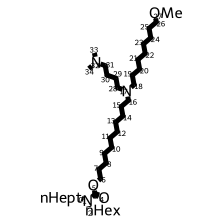 CCCCCCCN(CCCCCC)C(=O)OCCCCCCCCCCCN(CCCCCCCCCOC)CCCCN(C)C